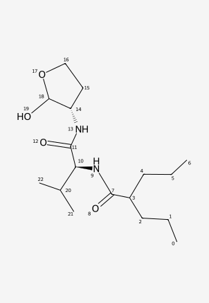 CCCC(CCC)C(=O)N[C@H](C(=O)N[C@H]1CCOC1O)C(C)C